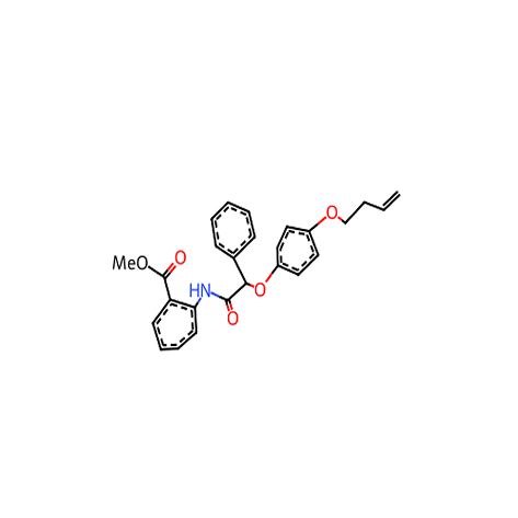 C=CCCOc1ccc(OC(C(=O)Nc2ccccc2C(=O)OC)c2ccccc2)cc1